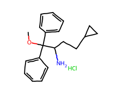 COC(c1ccccc1)(c1ccccc1)C(N)CCC1CC1.Cl